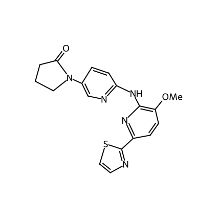 COc1ccc(-c2nccs2)nc1Nc1ccc(N2CCCC2=O)cn1